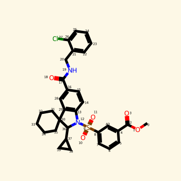 COC(=O)c1cccc(S(=O)(=O)N2c3ccc(C(=O)NCc4ccccc4Cl)cc3C3(CCCCC3)C2C2CC2)c1